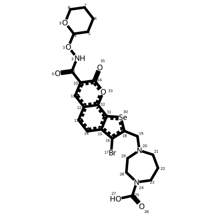 O=C(NOC1CCCCO1)c1cc2ccc3c(Br)c(CN4CCCN(C(=O)O)CC4)[se]c3c2oc1=O